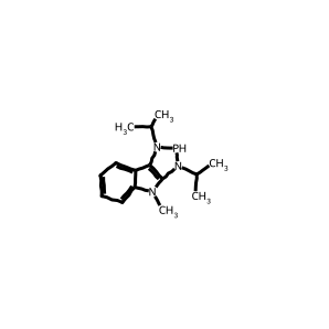 CC(C)N1PN(C(C)C)c2c1c1ccccc1n2C